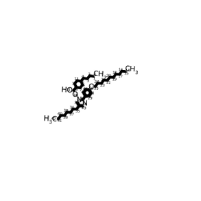 CCCCCC1CCC(C(=O)O)CC1.CCCCCCCCCCCCOc1ccc(-c2ncc(CCCCCCCC)cn2)cc1